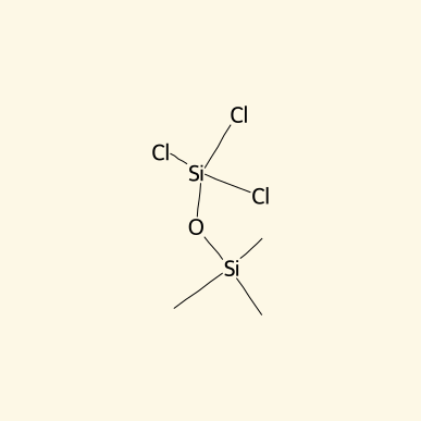 C[Si](C)(C)O[Si](Cl)(Cl)Cl